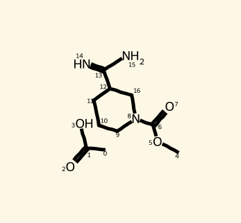 CC(=O)O.COC(=O)N1CCCC(C(=N)N)C1